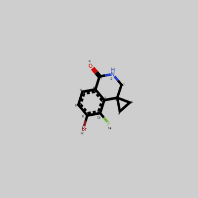 O=C1NCC2(CC2)c2c1ccc(Br)c2F